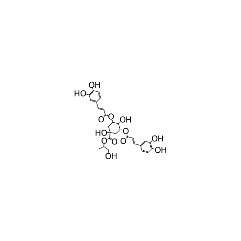 CC(CO)OC(=O)[C@]1(O)C[C@@H](OC(=O)/C=C/c2ccc(O)c(O)c2)[C@@H](O)[C@H](OC(=O)/C=C/c2ccc(O)c(O)c2)C1